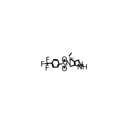 CC[C@@H]1c2cn[nH]c2CN1S(=O)(=O)c1ccc(C(F)(F)F)cc1